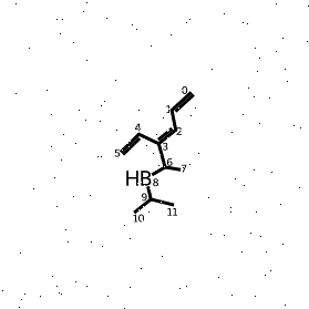 C=C/C=C(\C=C)C(C)BC(C)C